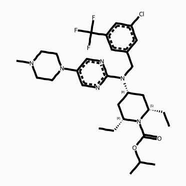 CC[C@@H]1C[C@H](N(Cc2cc(Cl)cc(C(F)(F)F)c2)c2ncc(N3CCN(C)CC3)cn2)C[C@H](CC)N1C(=O)OC(C)C